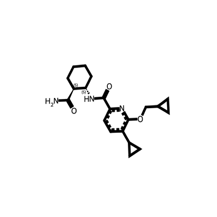 NC(=O)[C@H]1CCCC[C@@H]1NC(=O)c1ccc(C2CC2)c(OCC2CC2)n1